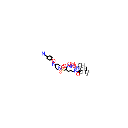 CN1C(=O)N(CCCC(CS(=O)(=O)N2CCC(=NOc3ccc(C#N)cc3)CC2)C(=O)NO)C(=O)C1(C)C